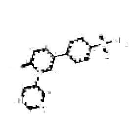 NS(=O)(=O)c1ccc(-c2ccc(=O)n(-c3cncnc3)c2)cc1